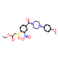 CCOC(=O)C[S+]([O-])c1ccc(C(=O)N2CCN(c3ccc(OC)cc3)CC2)cc1[N+](=O)[O-]